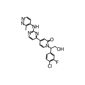 Cc1nnccc1Nc1nccc(-c2ccn(C(CO)c3ccc(Cl)c(F)c3)c(=O)c2)n1